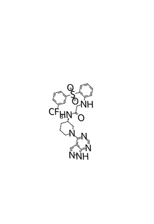 O=C(CNc1ccccc1S(=O)(=O)c1cccc(C(F)(F)F)c1)N[C@@H]1CCCN(c2ncnc3[nH]ncc23)C1